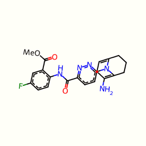 COC(=O)c1cc(F)ccc1NC(=O)c1ccc(N2C3=CCC(N)=C2CCC3)nn1